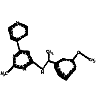 COc1cccc(C(C)Nc2cc(-c3ccncc3)nc(C)n2)c1